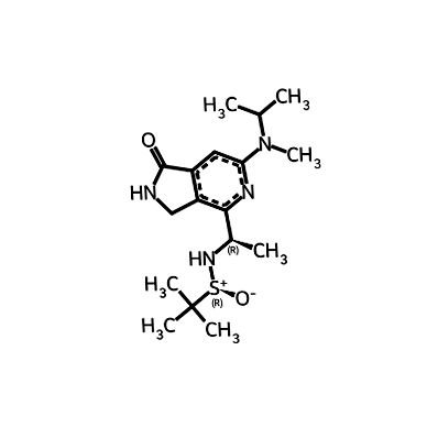 CC(C)N(C)c1cc2c(c([C@@H](C)N[S@@+]([O-])C(C)(C)C)n1)CNC2=O